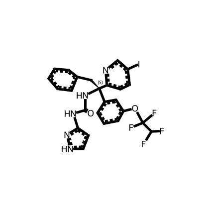 O=C(Nc1cc[nH]n1)N[C@@](Cc1ccccc1)(c1cccc(OC(F)(F)C(F)F)c1)c1ccc(I)cn1